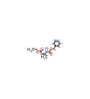 CCOC(=O)/C=C(/C)NC(=O)OCc1ccncc1